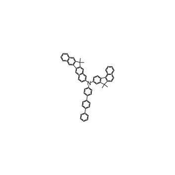 CC1(C)c2cc3ccccc3cc2-c2cc3ccc(N(c4ccc(-c5ccc(-c6ccccc6)cc5)cc4)c4ccc5c(c4)C(C)(C)c4ccc6ccccc6c4-5)cc3cc21